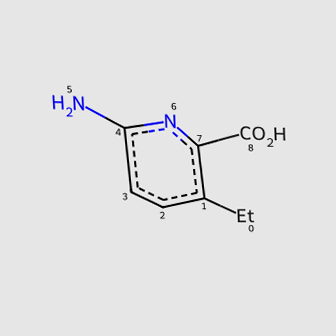 CCc1ccc(N)nc1C(=O)O